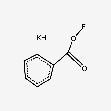 O=C(OF)c1ccccc1.[KH]